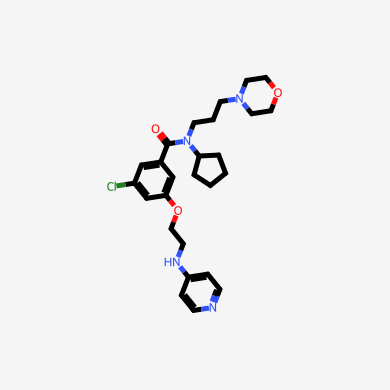 O=C(c1cc(Cl)cc(OCCNc2ccncc2)c1)N(CCCN1CCOCC1)C1CCCC1